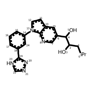 CC(C)CC(O)C(O)c1cnc2c(ccn2-c2cccc(-c3nnc[nH]3)c2)c1